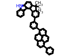 CC1(C)c2ccc(-c3cccc(-c4ccc5ccc6c(-c7ccccc7)ccc7ccc4c5c76)c3)cc2-c2c1ccc1[nH]c3ccccc3c21